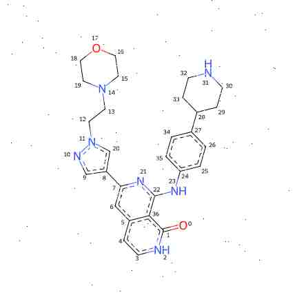 O=c1[nH]ccc2cc(-c3cnn(CCN4CCOCC4)c3)nc(Nc3ccc(C4CCNCC4)cc3)c12